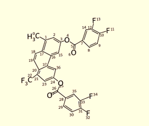 Cc1cc(OC(=O)c2ccc(F)c(F)c2)cc2c1ccc1c(C(F)(F)F)cc(OC(=O)c3ccc(F)c(F)c3)cc12